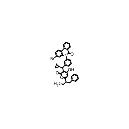 CCC(Cc1ccccc1)c1cc(O)c(C(c2cccc(NC(=O)c3ccccc3-c3ccc(Br)cc3)c2)C2CC2)c(=O)o1